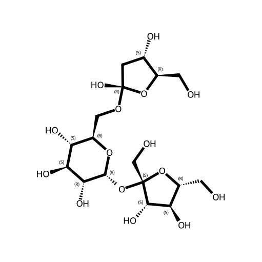 OC[C@H]1O[C@@](CO)(O[C@H]2O[C@H](CO[C@]3(O)C[C@H](O)[C@@H](CO)O3)[C@@H](O)[C@H](O)[C@H]2O)[C@@H](O)[C@@H]1O